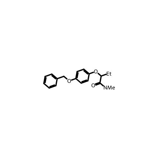 CCC(Oc1ccc(OCc2ccccc2)cc1)C(=O)NC